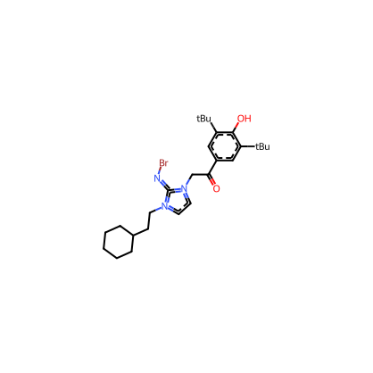 CC(C)(C)c1cc(C(=O)Cn2ccn(CCC3CCCCC3)/c2=N/Br)cc(C(C)(C)C)c1O